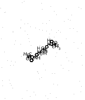 CCC(=O)N1c2ccccc2[C@H](Nc2ccc(NC(=O)CNC(=O)NC3CCC(N[C@@H]4C[C@H](C)N(C(=O)CC)c5ccccc54)CC3)cc2)C[C@@H]1C